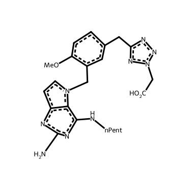 CCCCCNc1nc(N)nc2ccn(Cc3cc(Cc4nnn(CC(=O)O)n4)ccc3OC)c12